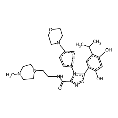 CC(C)c1cc(-c2nnc(C(=O)NCCN3CCN(C)CC3)n2-c2ccc(N3CCOCC3)cc2)c(O)cc1O